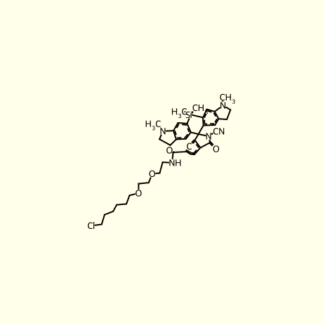 CN1CCc2cc3c(cc21)[Si](C)(C)c1cc2c(cc1C31c3cc(C(=O)NCCOCCOCCCCCCCl)ccc3C(=O)N1C#N)CCN2C